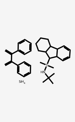 C=C(C(=C)c1ccccc1)c1ccccc1.CC(C)(C)[NH][Ti]([CH3])([CH3])[CH]1C2C=CC=CC2C2CCCCC21.[SiH4]